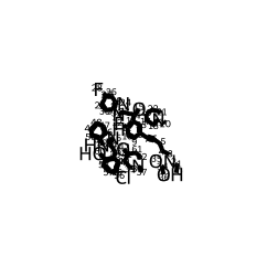 CCN(CCCC#Cc1ccc(F)c(C(OC2CCN(C)CC2)c2nc3cc(F)ccc3[nH]2)c1)C(=O)O.CN1CCC(OC(c2nc3ccccc3[nH]2)c2cc(Cl)ccc2O)CC1